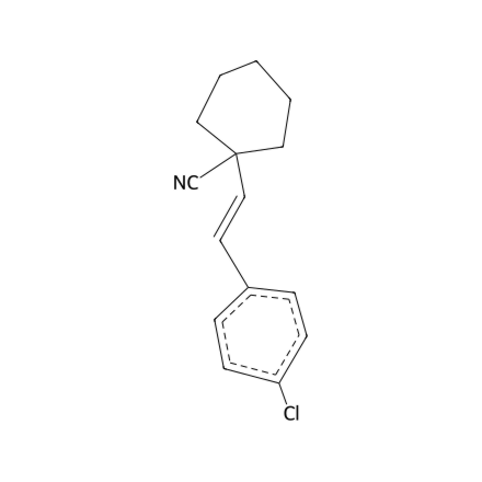 N#CC1(/C=C/c2ccc(Cl)cc2)CCCCC1